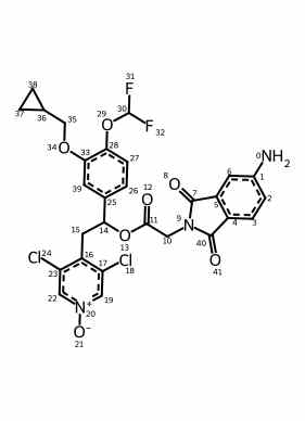 Nc1ccc2c(c1)C(=O)N(CC(=O)OC(Cc1c(Cl)c[n+]([O-])cc1Cl)c1ccc(OC(F)F)c(OCC3CC3)c1)C2=O